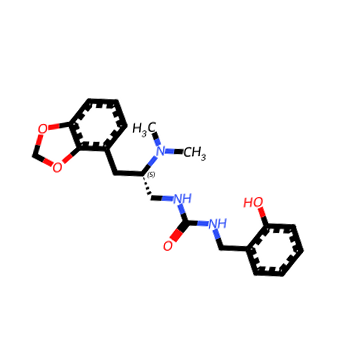 CN(C)[C@H](CNC(=O)NCc1ccccc1O)Cc1cccc2c1OCO2